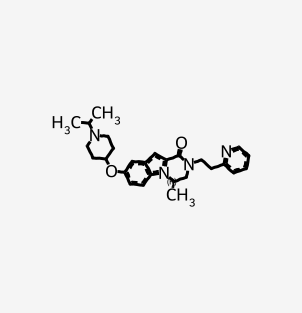 CC(C)N1CCC(Oc2ccc3c(c2)cc2n3[C@H](C)CN(CCc3ccccn3)C2=O)CC1